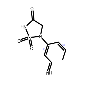 C/C=C\C(=C/C=N)N1CC(=O)NS1(=O)=O